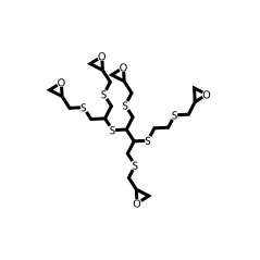 C(CSC(CSCC1CO1)C(CSCC1CO1)SC(CSCC1CO1)CSCC1CO1)SCC1CO1